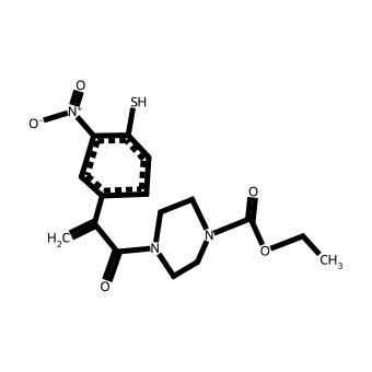 C=C(C(=O)N1CCN(C(=O)OCC)CC1)c1ccc(S)c([N+](=O)[O-])c1